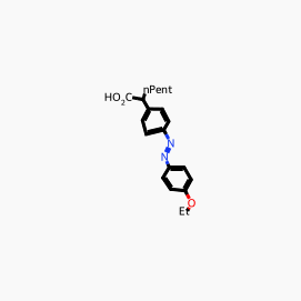 CCCCCC(C(=O)O)c1ccc(N=Nc2ccc(OCC)cc2)cc1